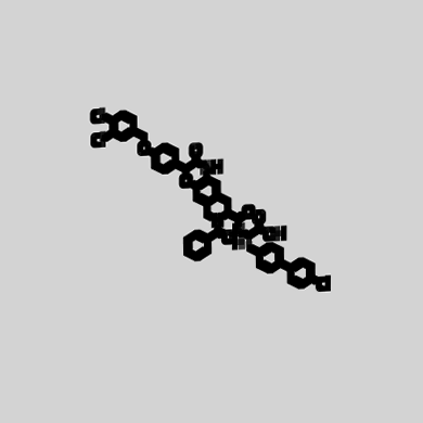 O=C1Nc2cc3c(cc2OC1c1ccc(OCc2ccc(Cl)c(Cl)c2)cc1)CN(C(=O)c1ccccc1)C(C(=O)N[C@@H](Cc1ccc(-c2ccc(Cl)cc2)cc1)C(=O)O)C3